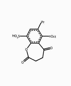 CCCCCCCCc1c(C(C)C)cc(S(=O)(=O)O)c2c1C(=O)CCC(=O)O2